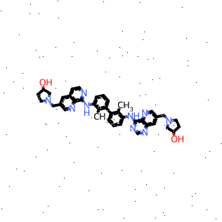 Cc1c(Nc2nccc3cc(CN4CCC(O)C4)cnc23)cccc1-c1cccc(Nc2ncnc3cc(CN4CCC(O)C4)cnc23)c1C